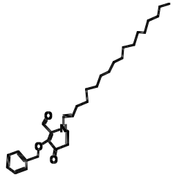 CCCCCCCCCCCCCCCCC=Cn1ccc(=O)c(OCc2ccccc2)c1C=O